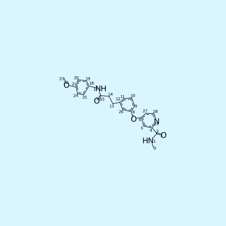 CNC(=O)c1cc(Oc2cccc(CCC(=O)Nc3ccc(OC)cc3)c2)ccn1